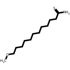 COCCCCCCCCCCCC(N)=S